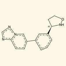 c1cc(-c2ccc3ncnn3c2)cc([C@H]2CCON2)c1